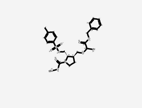 Cc1ccc(S(=O)(=O)OC[C@@H]2[C@@H](COC(C(=O)OCc3ccccc3)C(C)C)CCN2C(=O)OC(C)(C)C)cc1